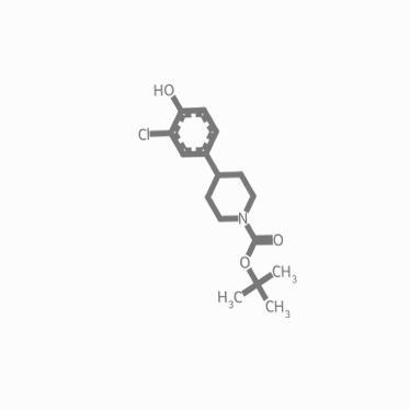 CC(C)(C)OC(=O)N1CCC(c2ccc(O)c(Cl)c2)CC1